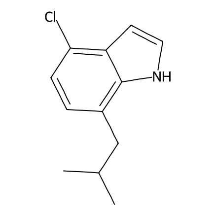 CC(C)Cc1ccc(Cl)c2cc[nH]c12